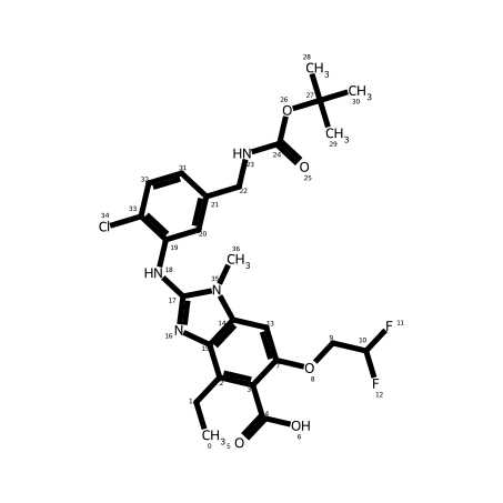 CCc1c(C(=O)O)c(OCC(F)F)cc2c1nc(Nc1cc(CNC(=O)OC(C)(C)C)ccc1Cl)n2C